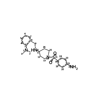 CN(C)c1ccccc1CNC1CCN(S(=O)(=O)c2ccc(N)cc2)CC1